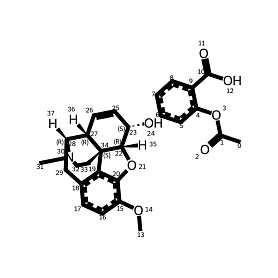 CC(=O)Oc1ccccc1C(=O)O.COc1ccc2c3c1O[C@H]1[C@@H](O)C=C[C@H]4[C@@H](C2)N(C)CC[C@@]341